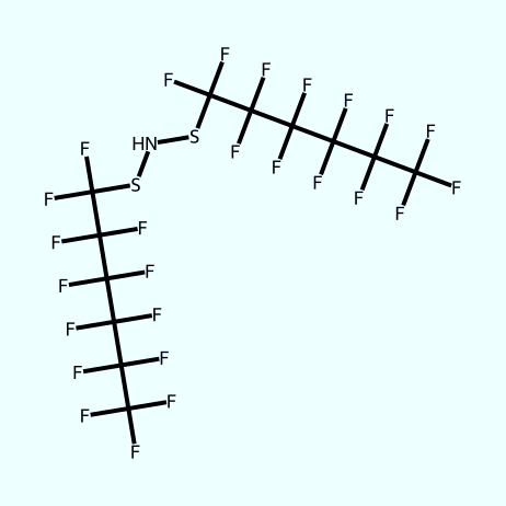 FC(F)(F)C(F)(F)C(F)(F)C(F)(F)C(F)(F)C(F)(F)SNSC(F)(F)C(F)(F)C(F)(F)C(F)(F)C(F)(F)C(F)(F)F